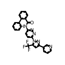 O=C(Nc1ccc(-n2nc(-c3cccnc3)cc2C(F)(F)F)nn1)c1ccccc1-c1ccccc1